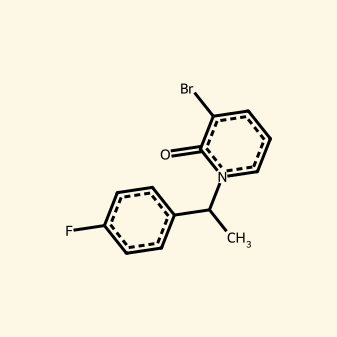 CC(c1ccc(F)cc1)n1cccc(Br)c1=O